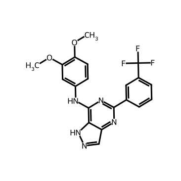 COc1ccc(Nc2nc(-c3cccc(C(F)(F)F)c3)nc3cn[nH]c23)cc1OC